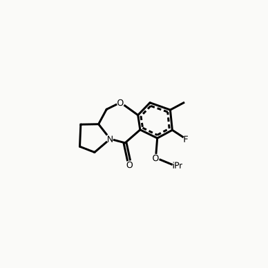 Cc1cc2c(c(OC(C)C)c1F)C(=O)N1CCCC1CO2